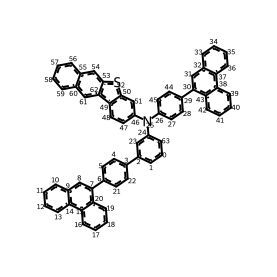 c1cc(-c2ccc(-c3cc4ccccc4c4ccccc34)cc2)cc(N(c2ccc(-c3cc4ccccc4c4ccccc34)cc2)c2ccc3c(c2)sc2cc4ccccc4cc23)c1